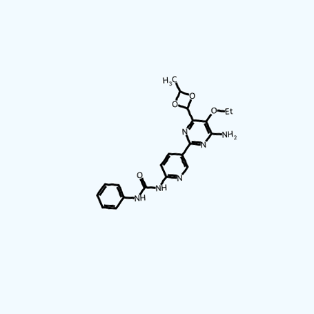 CCOc1c(N)nc(-c2ccc(NC(=O)Nc3ccccc3)nc2)nc1C1OC(C)O1